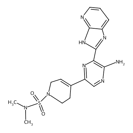 CN(C)S(=O)(=O)N1CC=C(c2cnc(N)c(-c3nc4cccnc4[nH]3)n2)CC1